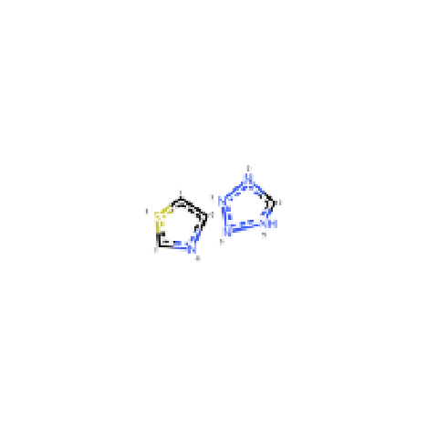 c1cscn1.c1nnn[nH]1